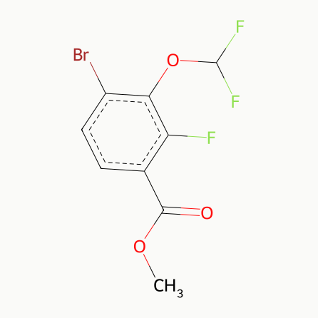 COC(=O)c1ccc(Br)c(OC(F)F)c1F